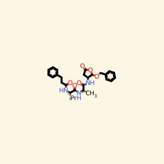 CC(C)[C@H](NC(=O)CCc1ccccc1)C(=O)N[C@@H](C)C(=O)NC1CC(=O)OC1OCc1ccccc1